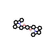 c1ccc(-c2ccc3c(oc4cc5c(cc43)oc3c(-n4c6ccccc6c6ccccc64)c(-c4ccccc4)ccc35)c2-n2c3ccccc3c3ccccc32)cc1